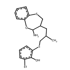 CCc1cccc(SCC(C)CC2CSc3ccccc3OC2N)c1O